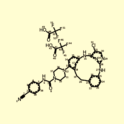 N#Cc1ccc(NC(=O)N2CCN(c3ccc4cc3CCc3cccc(c3)Nc3ncc(Cl)c(n3)N4)CC2)cc1.O=C(O)C(F)(F)F.O=C(O)C(F)(F)F